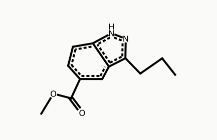 CCCc1n[nH]c2ccc(C(=O)OC)cc12